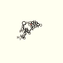 CC(C)[C@H](NC(=O)COC1C#CCCCCC1)C(=O)N[C@@H](CCCNC(N)=O)C(=O)NCCN(C)C(=O)OCC(=O)[C@@]1(O)[C@H](C)C[C@H]2[C@@H]3CCC4=CC(=O)C=C[C@]4(C)[C@@]3(F)[C@@H](O)C[C@@]21C